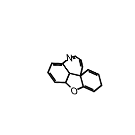 C1=CC2OC3=CCC=CC34C=CC=NC(=C1)C24